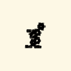 COc1ccc2c(c1OC)CCOC2CN1CCN(c2ccccn2)CC1.O=C(O)C=CC(=O)O